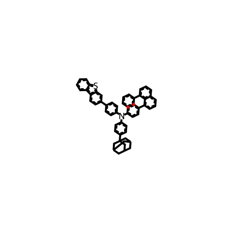 c1ccc(-c2cccc3cccc(-c4ccc(N(c5ccc(-c6ccc7c(c6)sc6ccccc67)cc5)c5ccc(C67CC8CC(CC(C8)C6)C7)cc5)cc4)c23)cc1